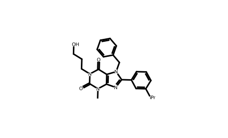 CC(C)c1cccc(-c2nc3c(c(=O)n(CCCO)c(=O)n3C)n2Cc2ccccc2)c1